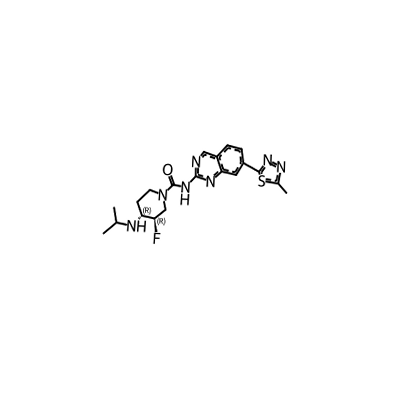 Cc1nnc(-c2ccc3cnc(NC(=O)N4CC[C@@H](NC(C)C)[C@H](F)C4)nc3c2)s1